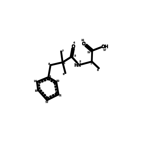 CC(NC(=O)C(C)(C)Cc1ccccc1)C(=O)O